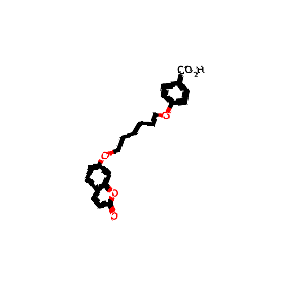 O=C(O)c1ccc(OCCCCCCOc2ccc3ccc(=O)oc3c2)cc1